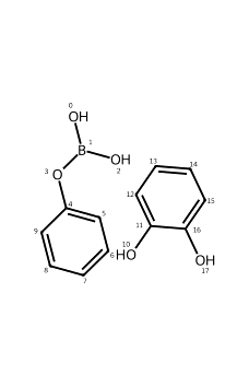 OB(O)Oc1ccccc1.Oc1ccccc1O